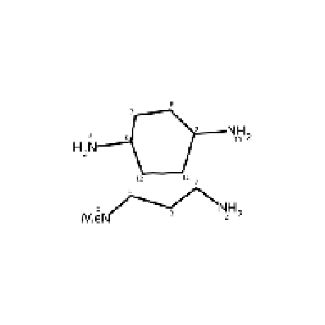 CNCCCN.NC1CCC(N)CC1